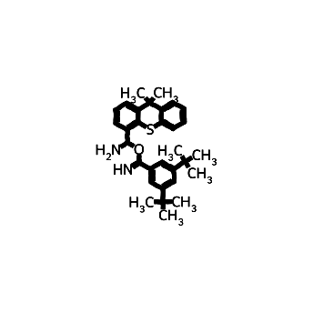 CC(C)(C)c1cc(C(=N)OC(N)c2cccc3c2Sc2ccccc2C3(C)C)cc(C(C)(C)C)c1